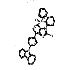 CCc1nc2c(-c3ccc(-n4c5ccccc5c5ccccc54)cc3)ccc3c2n1-c1ccccc1P3(=O)c1ccccc1